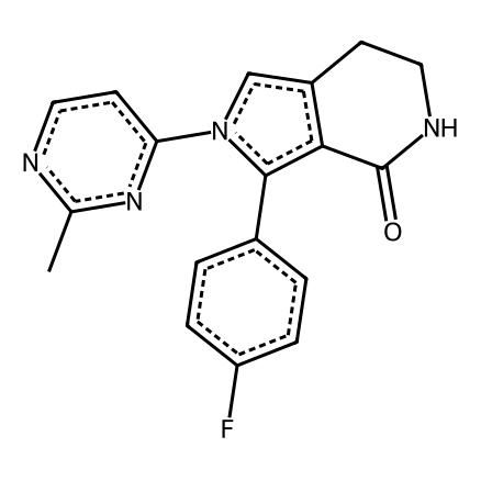 Cc1nccc(-n2cc3c(c2-c2ccc(F)cc2)C(=O)NCC3)n1